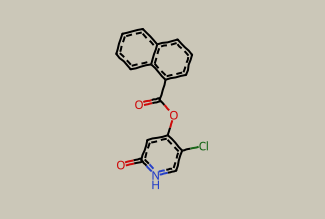 O=C(Oc1cc(=O)[nH]cc1Cl)c1cccc2ccccc12